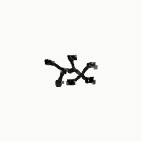 CC(C)(C#N)C(C#N)=[N+]([O-])C(C)(C)C